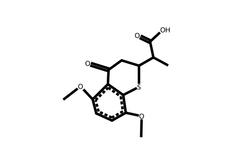 COc1ccc(OC)c2c1SC(C(C)C(=O)O)CC2=O